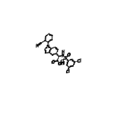 N#Cc1ccccc1-n1ccc2cc(C(NS(=O)(=O)c3cc(Cl)cc(Cl)c3)C(=O)O)ccc21